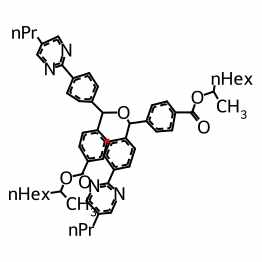 CCCCCCC(C)OC(=O)c1ccc(C(OC(c2ccc(C(=O)OC(C)CCCCCC)cc2)c2ccc(-c3ncc(CCC)cn3)cc2)c2ccc(-c3ncc(CCC)cn3)cc2)cc1